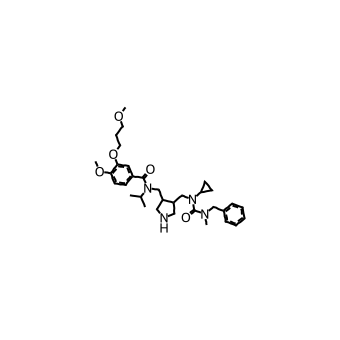 COCCCOc1cc(C(=O)N(CC2CNCC2CN(C(=O)N(C)Cc2ccccc2)C2CC2)C(C)C)ccc1OC